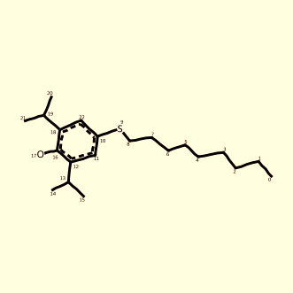 CCCCCCCCCSc1cc(C(C)C)c([O])c(C(C)C)c1